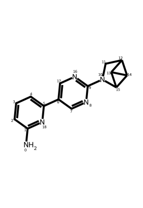 Nc1cccc(-c2cnc(N3CC4C5C4C53)nc2)n1